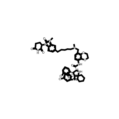 CN(CCCCCc1ccc2c(c1)n(C)c(=O)n2C1CCC(=O)NC1=O)Cc1ccc(NC(=O)[C@@H]2NC3(CCCCC3)[C@@]3(C(=O)Nc4cc(Cl)ccc43)[C@H]2c2cccc(Cl)c2F)c2c1OCCO2